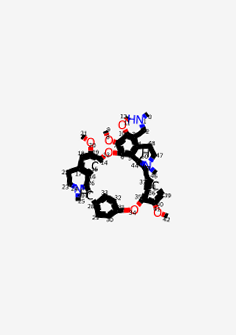 CNCc1c2c3c(c(OC)c1OC)Oc1cc4c(cc1OC)CCN(C)[C@H]4Cc1ccc(cc1)Oc1cc(ccc1OC)C[C@@H]3N(C)CC2